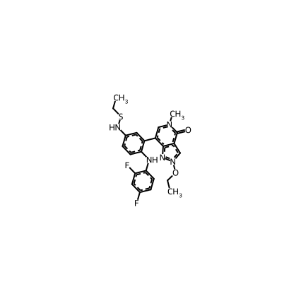 CCOn1cc2c(=O)n(C)cc(-c3cc(NSCC)ccc3Nc3ccc(F)cc3F)c2n1